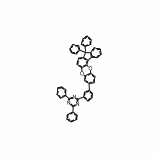 c1ccc(-c2nc(-c3ccccc3)nc(-c3cccc(-c4ccc5c(c4)Oc4ccc6c(c4O5)-c4ccccc4C6(c4ccccc4)c4ccccc4)c3)n2)cc1